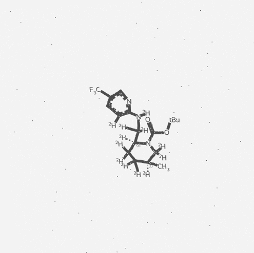 [2H]c1cc(C(F)(F)F)cnc1N([2H])C([2H])([2H])[C@@]1([2H])N(C(=O)OC(C)(C)C)C([2H])([2H])[C@@]([2H])(C)C([2H])([2H])C1([2H])[2H]